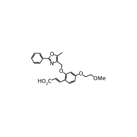 COCCOc1ccc(C=CC(=O)O)c(OCc2nc(-c3ccccc3)oc2C)c1